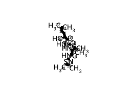 Cc1nc(NC(=O)[C@@H](NC(=O)N(O)C(=O)[C@@H](O)CCC(C)C)C(C)(C)C)sc1C